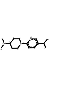 CC(C)c1ccc(N2CCC(N(C)C)CC2)nc1